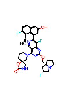 C#Cc1c(F)ccc2cc(O)cc(-c3ncc4c(N5CCCC6(CNC(=O)O6)C5)nc(OC[C@@]56CCCN5C[C@H](F)C6)nc4c3F)c12